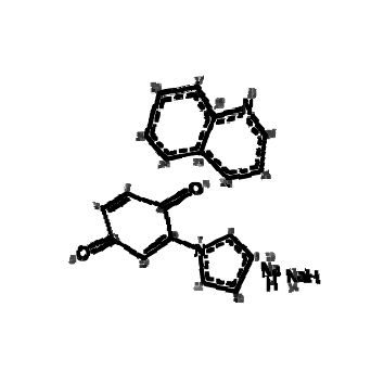 O=C1C=CC(=O)C(n2cccc2)=C1.[NaH].[NaH].c1ccc2ncccc2c1